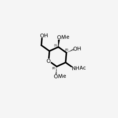 CO[C@@H]1OC(CO)[C@@H](OC)[C@H](O)C1NC(C)=O